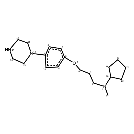 CN(CCCOc1ccc(N2CCNCC2)cc1)C1CCCC1